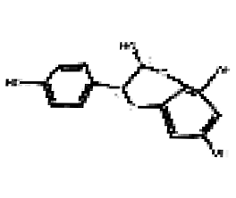 Oc1ccc([C@@H]2Oc3cc(O)cc(O)c3C[C@@H]2O)cc1